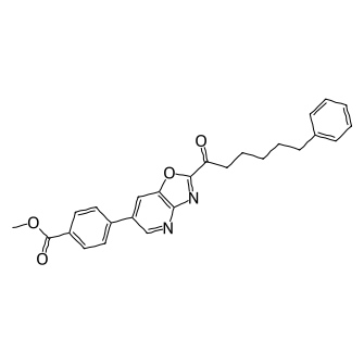 COC(=O)c1ccc(-c2cnc3nc(C(=O)CCCCCc4ccccc4)oc3c2)cc1